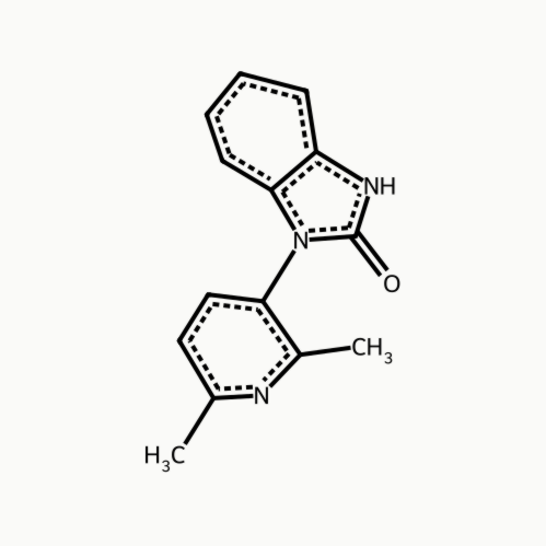 Cc1ccc(-n2c(=O)[nH]c3ccccc32)c(C)n1